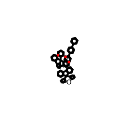 c1ccc(-c2ccc(-c3ccc(N(c4cccc5c4-c4ccccc4C54c5ccccc5Oc5ccccc54)c4cccc5c4C4(c6ccccc6Oc6ccccc64)c4ccccc4-5)cc3)cc2)cc1